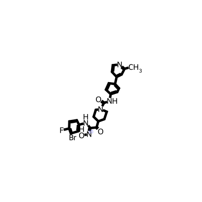 Cc1cc(-c2ccc(NC(=O)N3CCC(C(=O)/C(=N/O)Nc4ccc(F)c(Br)c4)CC3)cc2)ccn1